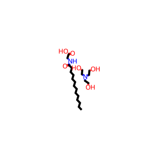 CCCCCCCCCCCCCC(=O)NCC(=O)O.OCCN(CCO)CCO